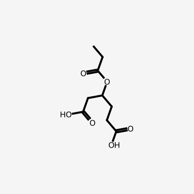 CCC(=O)OC(CCC(=O)O)CC(=O)O